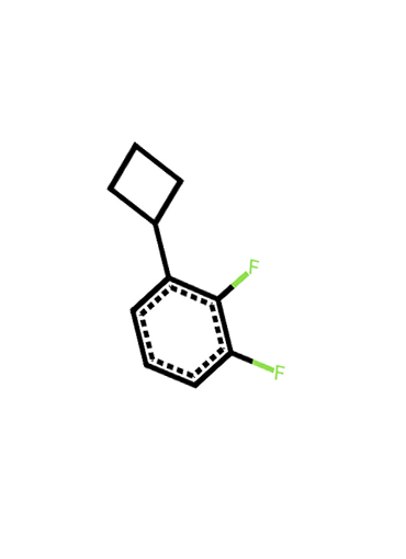 Fc1cccc(C2CCC2)c1F